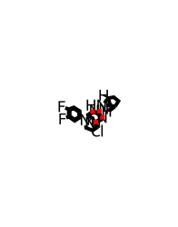 Fc1ccc(N2CCCn3nc(N[C@@H]4C5CC[C@H]4CN(c4ccnc(Cl)c4)C5)nc32)cc1F